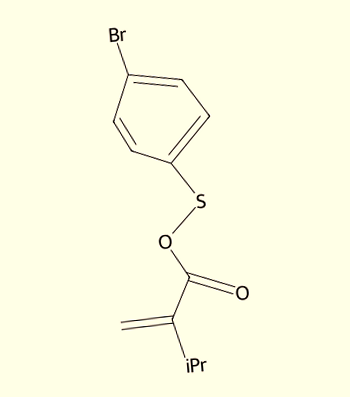 C=C(C(=O)OSc1ccc(Br)cc1)C(C)C